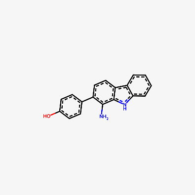 Nc1c(-c2ccc(O)cc2)ccc2c1[nH]c1ccccc12